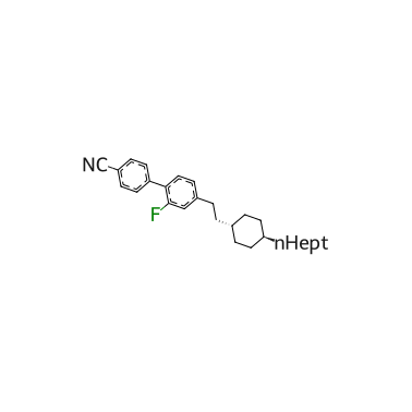 CCCCCCC[C@H]1CC[C@H](CCc2ccc(-c3ccc(C#N)cc3)c(F)c2)CC1